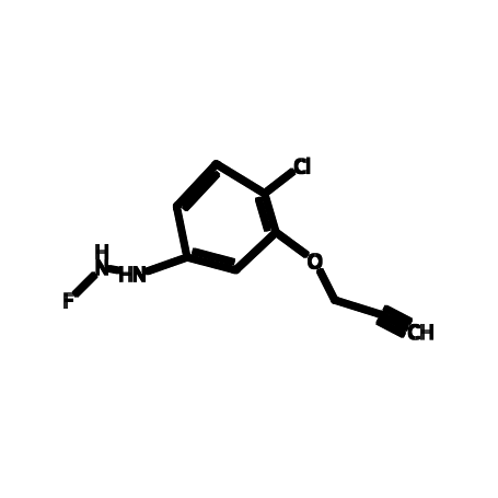 C#CCOc1cc(NNF)ccc1Cl